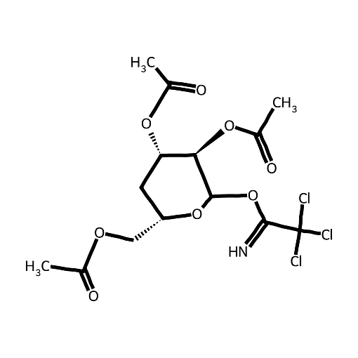 CC(=O)OC[C@@H]1C[C@H](OC(C)=O)[C@@H](OC(C)=O)C(OC(=N)C(Cl)(Cl)Cl)O1